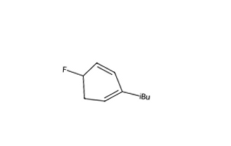 CCC(C)C1=CCC(F)C=C1